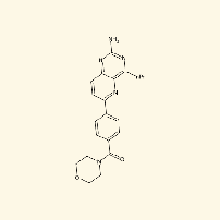 CCCc1nc(N)nc2ccc(-c3ccc(C(=O)N4CCOCC4)cc3)nc12